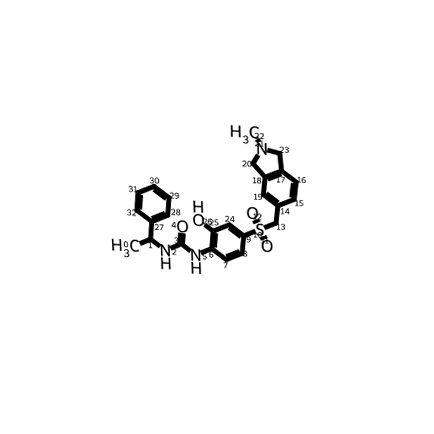 CC(NC(=O)Nc1ccc(S(=O)(=O)Cc2ccc3c(c2)CN(C)C3)cc1O)c1ccccc1